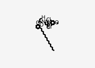 CCCCCCCCCCCCCCCc1cccc(OC(CC)C(=O)NC2=NN(c3c(Cl)cc(OC)cc3Cl)C(=O)C2)c1